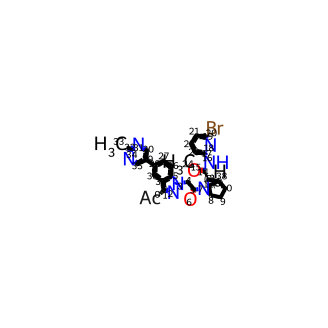 CC(=O)c1nn(CC(=O)N2C3CC[C@@H](C3)[C@@H]2C(=O)Nc2nc(Br)ccc2C)c2ccc(-c3cnc(C)nc3)cc12